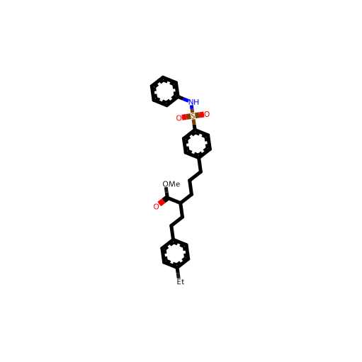 CCc1ccc(CCC(CCCc2ccc(S(=O)(=O)Nc3ccccc3)cc2)C(=O)OC)cc1